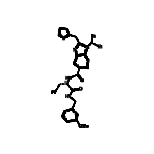 CCC(CC)n1c(Cc2cccs2)nc2cc(C(=O)N[C@@H](CC(C)C)C(=O)NCc3cccc(OC)c3)ccc21